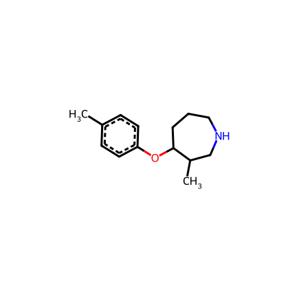 Cc1ccc(OC2CCCNCC2C)cc1